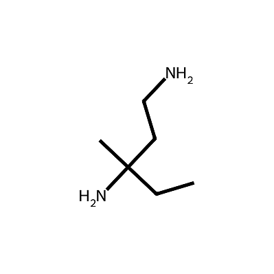 CCC(C)(N)CCN